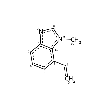 C=Cc1cccc2n[c]n(C)c12